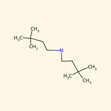 CC(C)(C)CC[N]CCC(C)(C)C